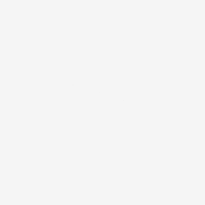 [CH2]CCCCCCC(CCCCCC)CCCCCCCC